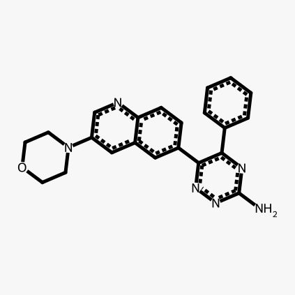 Nc1nnc(-c2ccc3ncc(N4CCOCC4)cc3c2)c(-c2ccccc2)n1